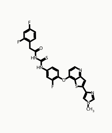 Cn1cnc(-c2cc3nccc(Oc4ccc(NC(=S)NC(=O)Cc5ccc(F)cc5F)cc4F)c3s2)c1